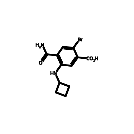 NC(=O)c1cc(Br)c(C(=O)O)cc1NC1CCC1